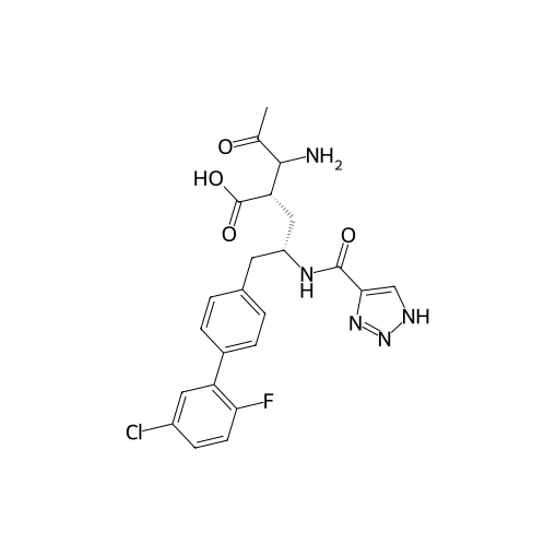 CC(=O)C(N)[C@H](C[C@@H](Cc1ccc(-c2cc(Cl)ccc2F)cc1)NC(=O)c1c[nH]nn1)C(=O)O